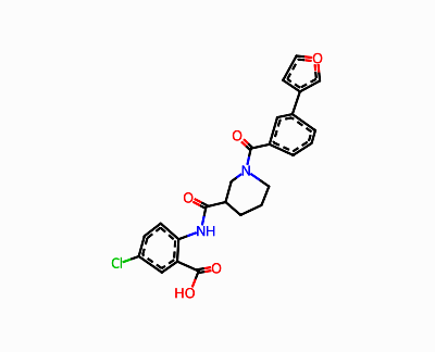 O=C(O)c1cc(Cl)ccc1NC(=O)C1CCCN(C(=O)c2cccc(-c3ccoc3)c2)C1